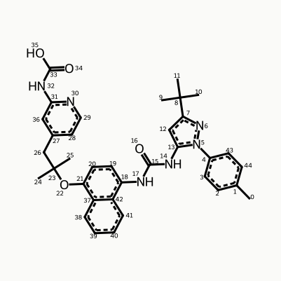 Cc1ccc(-n2nc(C(C)(C)C)cc2NC(=O)Nc2ccc(OC(C)(C)Cc3ccnc(NC(=O)O)c3)c3ccccc23)cc1